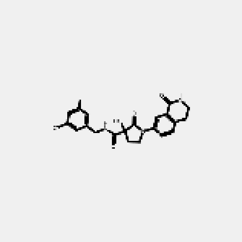 O=C1NCCc2ccc(N3CCC(O)(C(=O)NCc4cc(F)cc(Cl)c4)C3=O)cc21